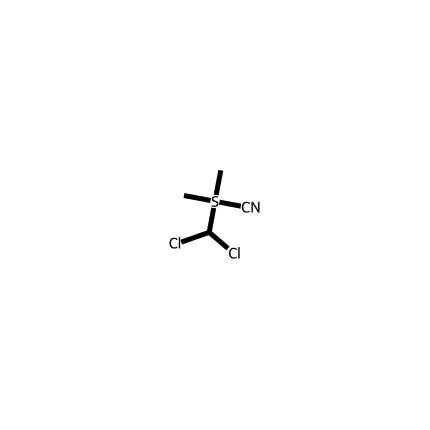 CS(C)(C#N)C(Cl)Cl